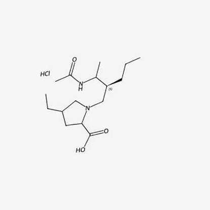 CCC[C@@H](CN1CC(CC)CC1C(=O)O)C(C)NC(C)=O.Cl